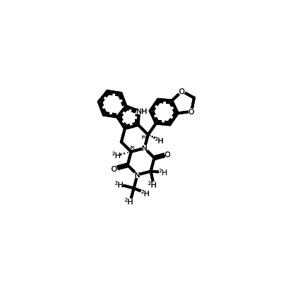 [2H]C([2H])([2H])N1C(=O)[C@@]2([2H])Cc3c([nH]c4ccccc34)[C@@]([2H])(c3ccc4c(c3)OCO4)N2C(=O)C1([2H])[2H]